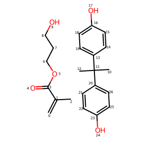 C=C(C)C(=O)OCCCO.CC(C)(c1ccc(O)cc1)c1ccc(O)cc1